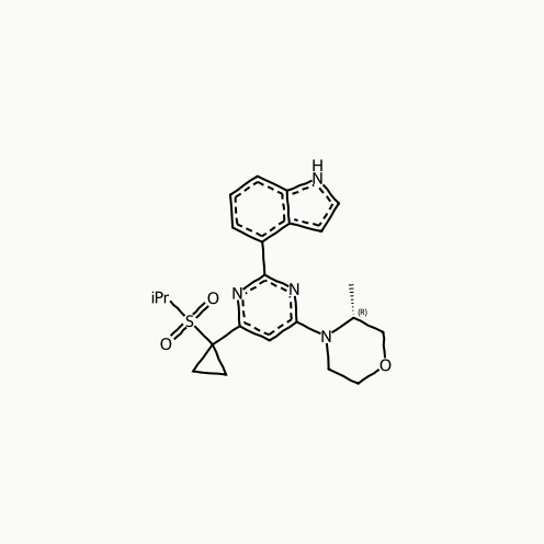 CC(C)S(=O)(=O)C1(c2cc(N3CCOC[C@H]3C)nc(-c3cccc4[nH]ccc34)n2)CC1